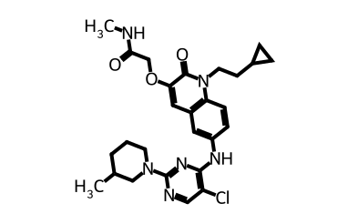 CNC(=O)COc1cc2cc(Nc3nc(N4CCCC(C)C4)ncc3Cl)ccc2n(CCC2CC2)c1=O